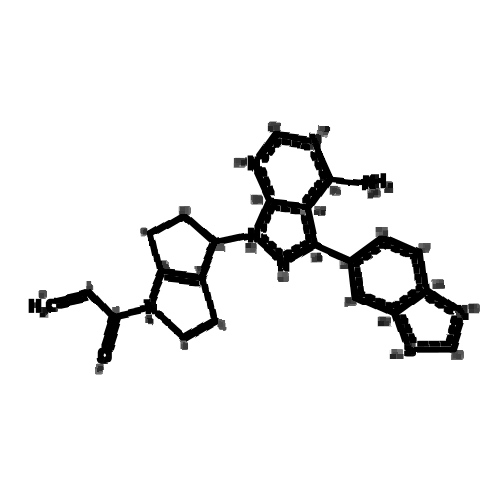 C=CC(=O)N1CCC2=C1CCC2n1nc(-c2ccc3ncsc3c2)c2c(N)ncnc21